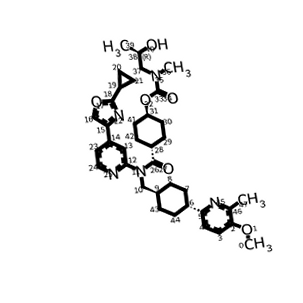 COc1ccc([C@H]2CC[C@H](CN(c3cc(-c4coc(C5CC5)n4)ccn3)C(=O)[C@H]3CC[C@H](OC(=O)N(C)C[C@@H](C)O)CC3)CC2)nc1C